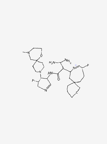 CN1CCOC2(CCN(C3C(F)CN=CC3NC(=O)C(C(N)N)C3CC4(CCCCC4)CCC(F)/C=N\3)CC2)C1